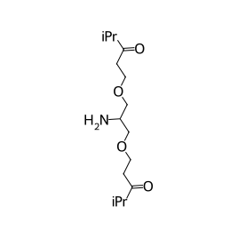 CC(C)C(=O)CCOCC(N)COCCC(=O)C(C)C